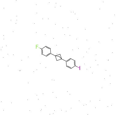 Fc1ccc(C23CC(c4ccc(I)cc4)(C2)C3)cc1